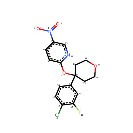 O=[N+]([O-])c1ccc(OC2(c3ccc(Cl)c(F)c3)CCOCC2)nc1